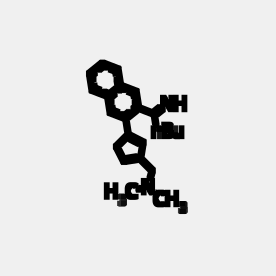 CCCCC(=N)c1cc2ccccc2cc1C1=CC(CN(C)C)=CC1